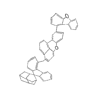 c1ccc2c(c1)-c1c(-c3ccc4c5c(cccc35)-c3cc(-c5cccc6oc7ccccc7c56)ccc3O4)cccc1C21C2CC3CC(C2)CC1C3